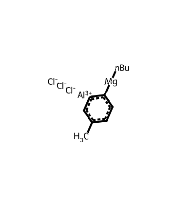 CCC[CH2][Mg][c]1ccc(C)cc1.[Al+3].[Cl-].[Cl-].[Cl-]